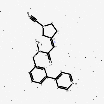 CN(Cc1cccc(-c2ccncc2)c1)C(=O)/C=C1/CCN(C#N)C1